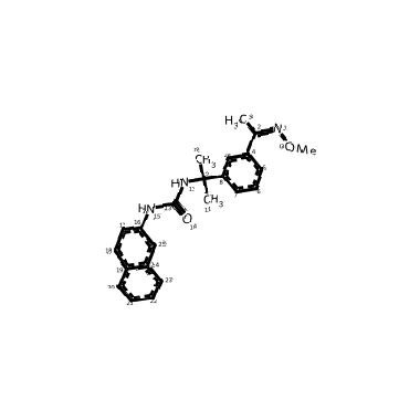 CO/N=C(/C)c1cccc(C(C)(C)NC(=O)Nc2ccc3ccccc3c2)c1